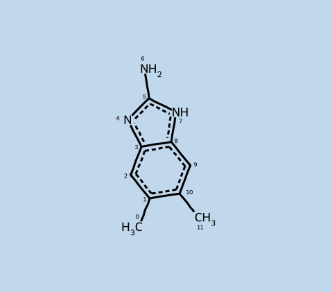 Cc1cc2nc(N)[nH]c2cc1C